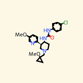 COc1ccc([C@@H]2CN(CC3(OC)CC3)CC[C@H]2NC(=O)Nc2ccc(Cl)cc2)nc1